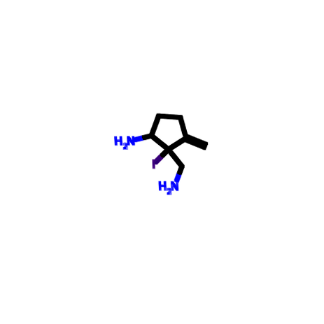 C=C1CCC(N)C1(I)CN